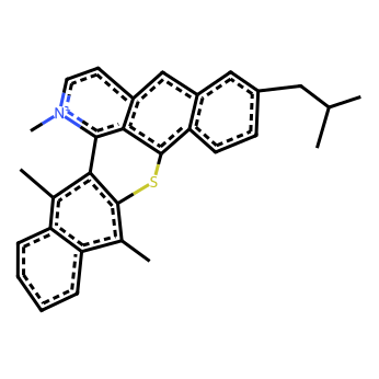 Cc1c2c(c(C)c3ccccc13)-c1c3c(c4ccc(CC(C)C)cc4cc3cc[n+]1C)S2